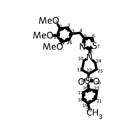 COc1cc(Cc2csc(N3CCC(S(=O)(=O)c4ccc(C)cc4)CC3)n2)cc(OC)c1OC